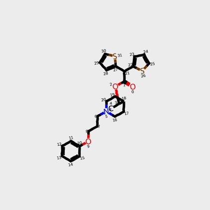 O=C(OC1C[N+]2(CCCOc3ccccc3)CCC1CC2)C(c1cccs1)c1cccs1